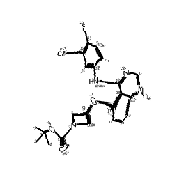 CC(C)(C)OC(=O)N1CC(Oc2cccc3ncnc(Nc4ccc(F)c(Cl)c4)c23)C1